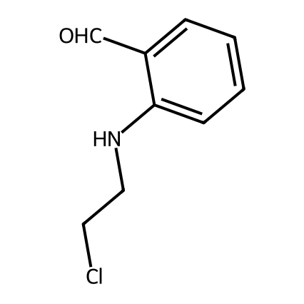 O=Cc1ccccc1NCCCl